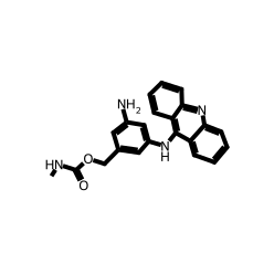 CNC(=O)OCc1cc(N)cc(Nc2c3ccccc3nc3ccccc23)c1